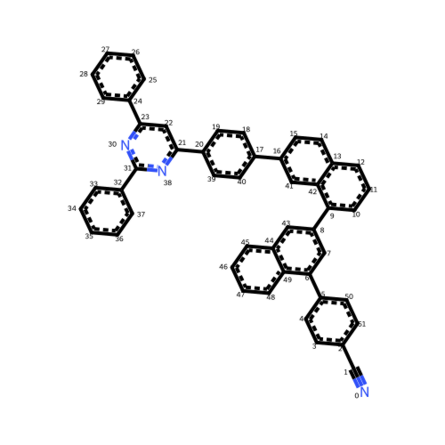 N#Cc1ccc(-c2cc(-c3cccc4ccc(-c5ccc(-c6cc(-c7ccccc7)nc(-c7ccccc7)n6)cc5)cc34)cc3ccccc23)cc1